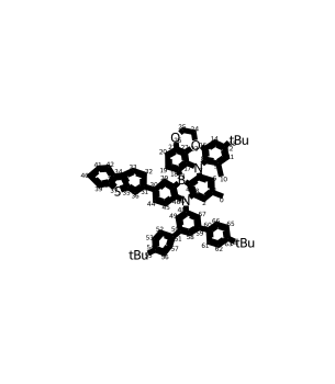 Cc1cc2c3c(c1)N(c1c(C)cc(C(C)(C)C)cc1C)c1c(ccc4c1OCCO4)B3c1cc(-c3ccc4c(c3)sc3ccccc34)ccc1N2c1cc(-c2ccc(C(C)(C)C)cc2)cc(-c2ccc(C(C)(C)C)cc2)c1